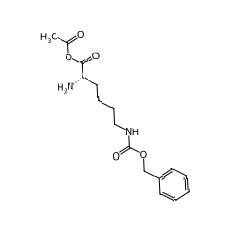 CC(=O)OC(=O)[C@@H](N)CCCCNC(=O)OCc1ccccc1